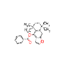 CC1(C)CCC(C)(C)c2c1cc1occc1c2OC(=O)c1ccccc1